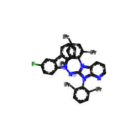 CC(C)c1cc(C(C)C)c(-n2/c(=N\n3c4ccccc4c4cc(F)ccc43)n(-c3c(C(C)C)cccc3C(C)C)c3ncccc32)c(C(C)C)c1